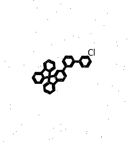 Clc1cccc(-c2cccc(-c3ccc4c(c3)C3(c5ccccc5-c5ccccc53)c3ccccc3-4)c2)c1